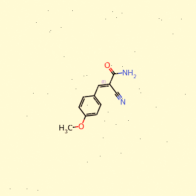 COc1ccc(/C=C(\C#N)C(N)=O)cc1